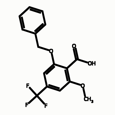 COc1cc(C(F)(F)F)cc(OCc2ccccc2)c1C(=O)O